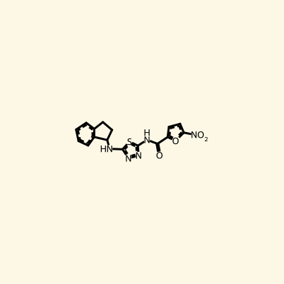 O=C(Nc1nnc(NC2CCc3ccccc32)s1)c1ccc([N+](=O)[O-])o1